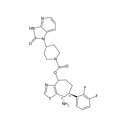 N[C@@H]1c2scnc2C(OC(=O)N2CCC(n3c(=O)[nH]c4ncccc43)CC2)CC[C@H]1c1cccc(F)c1F